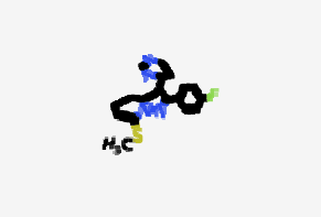 CSc1cccc2c(-c3ccncn3)c(-c3ccc(F)cc3)nn12